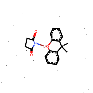 CC1(C)c2ccccc2Oc2ccccc21.O=C1CCC(=O)N1Br